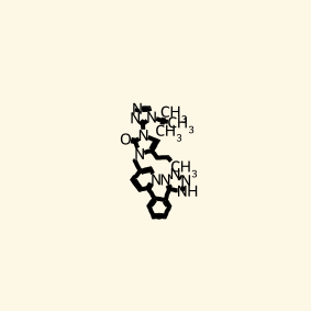 CCCc1cn(-c2nncn2C(C)(C)C)c(=O)n1Cc1ccc(-c2ccccc2-c2nnn[nH]2)nc1